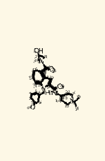 COc1cccc(Cn2c(C(=O)NC3CCN(C(C)C)CC3)cc3c(C(=O)N4CC(O)C4)cccc32)c1